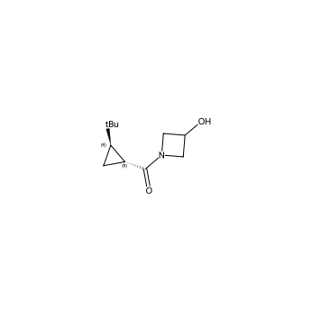 CC(C)(C)[C@@H]1C[C@H]1C(=O)N1CC(O)C1